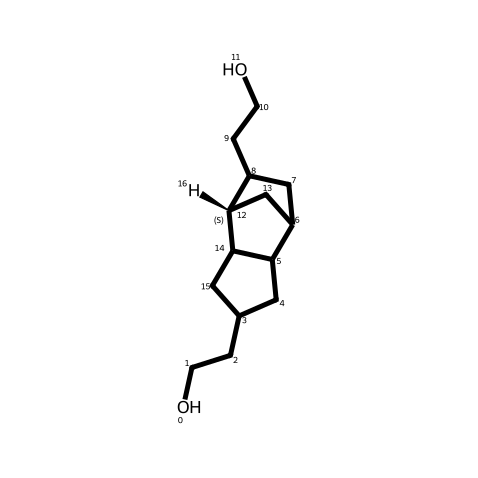 OCCC1CC2C3CC(CCO)[C@H](C3)C2C1